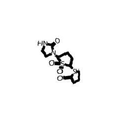 O=C1NCCN1C1CCC([SH]2CCCC2=O)S1(=O)=O